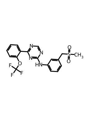 CS(=O)(=O)Cc1cccc(Nc2ncnc(-c3ccccc3OC(F)(F)F)n2)c1